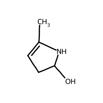 CC1=CCC(O)N1